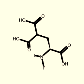 O=C(O)C(C[C@@H](C(=O)O)N(F)I)C(=O)O